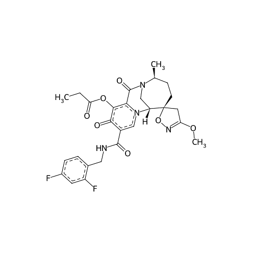 CCC(=O)Oc1c2n(cc(C(=O)NCc3ccc(F)cc3F)c1=O)[C@@H]1CN(C2=O)[C@@H](C)CC[C@]12CC(OC)=NO2